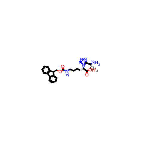 C[C@H](N)c1nnnn1[C@@H](CCCCNC(=O)OCC1c2ccccc2-c2ccccc21)C(=O)O